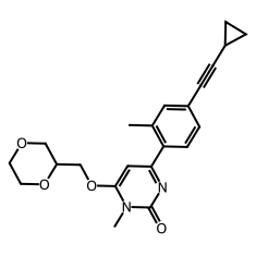 Cc1cc(C#CC2CC2)ccc1-c1cc(OCC2COCCO2)n(C)c(=O)n1